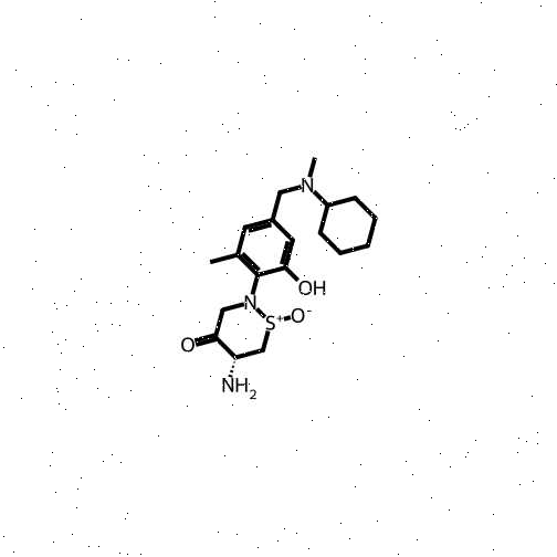 Cc1cc(CN(C)C2CCCCC2)cc(O)c1N1CC(=O)[C@@H](N)C[S+]1[O-]